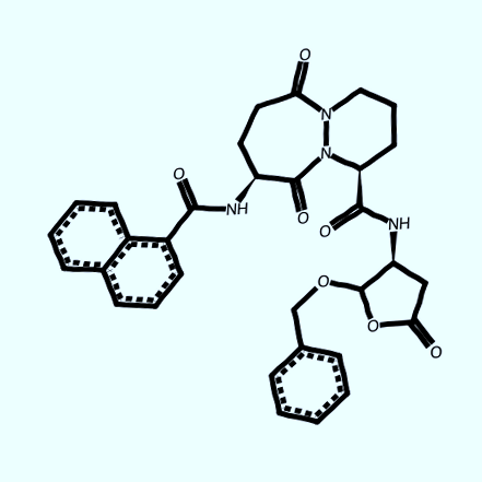 O=C1C[C@H](NC(=O)[C@@H]2CCCN3C(=O)CC[C@H](NC(=O)c4cccc5ccccc45)C(=O)N23)C(OCc2ccccc2)O1